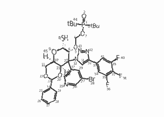 CC(C)(C)P(=O)(OCO[C@H]1[C@@H](S)O[C@@H]2COC(c3ccccc3)O[C@@H]2C1(c1cncc(Br)c1)n1cc(-c2cc(F)c(F)c(F)c2)nn1)C(C)(C)C